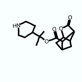 CC(C)(OC(=O)C1C2CC3OC(=O)C1C3C2)C1CCNCC1